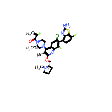 C=C(F)C(=O)N1CCN(c2c(C#N)c(OC[C@@H]3CCCN3C)nc3c(F)c(-c4ccc(F)c5sc(N)nc45)c(Cl)cc23)C[C@H]1C